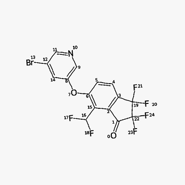 O=C1c2c(ccc(Oc3cncc(Br)c3)c2C(F)F)C(F)(F)C1(F)F